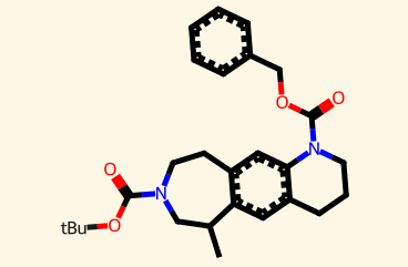 CC1CN(C(=O)OC(C)(C)C)CCc2cc3c(cc21)CCCN3C(=O)OCc1ccccc1